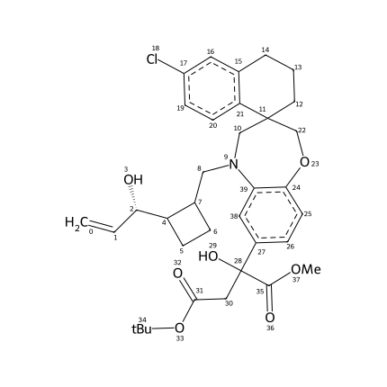 C=C[C@H](O)C1CCC1CN1CC2(CCCc3cc(Cl)ccc32)COc2ccc(C(O)(CC(=O)OC(C)(C)C)C(=O)OC)cc21